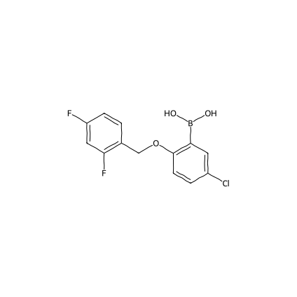 OB(O)c1cc(Cl)ccc1OCc1ccc(F)cc1F